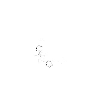 CCOC(=O)c1cccc(NC(=O)Nc2ccc(OC(F)F)cc2)c1